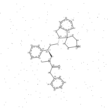 CN(C[C@H](CC[C@@H]1Sc2ccccc2C12CCNCC2)c1ccccc1)C(=O)Cc1ccccc1